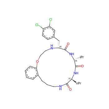 CCC[C@@H]1NC(=O)[C@@H](C(C)C)NC(=O)[C@@H](Cc2ccc(Cl)c(Cl)c2)NCCOc2ccccc2CCCNC1=O